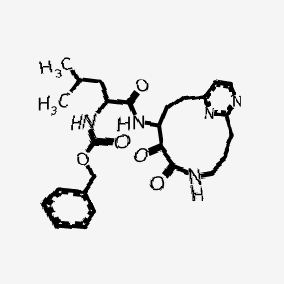 CC(C)CC(NC(=O)OCc1ccccc1)C(=O)NC1CCc2ccnc(n2)CCCNC(=O)C1=O